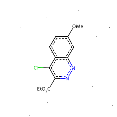 CCOC(=O)c1nnc2cc(OC)ccc2c1Cl